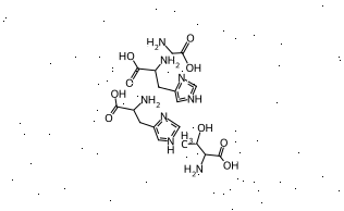 CC(O)C(N)C(=O)O.NC(Cc1c[nH]cn1)C(=O)O.NC(Cc1c[nH]cn1)C(=O)O.NCC(=O)O